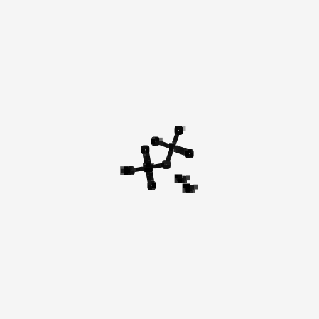 O=P([O-])([O-])[O][W](=[O])(=[O])[OH].[Na+].[Na+]